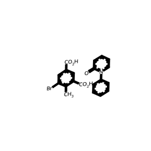 Cc1c(Br)cc(C(=O)O)cc1C(=O)O.O=c1ccccn1-c1ccccc1